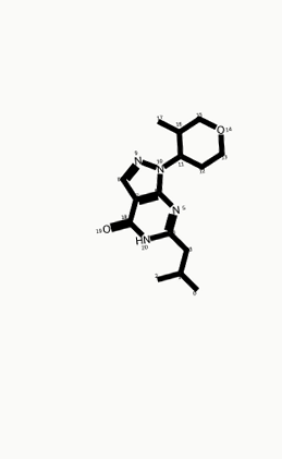 CC(C)Cc1nc2c(cnn2C2CCOCC2C)c(=O)[nH]1